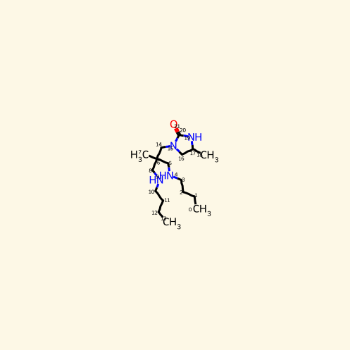 CCCCNCC(C)(CNCCCC)CN1CC(C)NC1=O